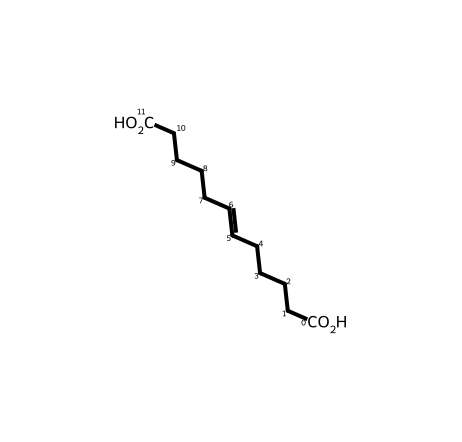 O=C(O)CCCC/C=C/CCCCC(=O)O